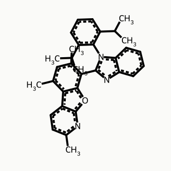 Cc1ccc2c(n1)oc1c(-c3nc4ccccc4n3-c3c(C(C)C)cccc3C(C)C)c(C)cc(C)c12